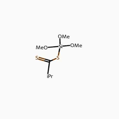 CO[Si](OC)(OC)SC(=S)C(C)C